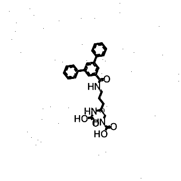 O=C(O)NC[C@H](CCCNC(=O)c1cc(-c2ccccc2)cc(-c2ccccc2)c1)NC(=O)O